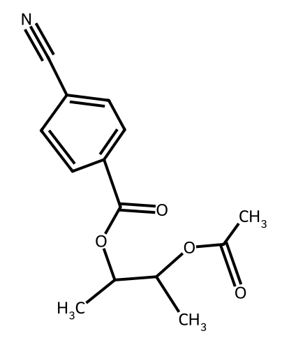 CC(=O)OC(C)C(C)OC(=O)c1ccc(C#N)cc1